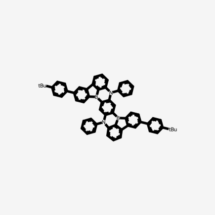 CC(C)(C)c1ccc(-c2ccc3c(c2)-c2cccc4c2B3c2cc3c(cc2N4c2ccccc2)B2c4ccc(-c5ccc(C(C)(C)C)cc5)cc4-c4cccc(c42)N3c2ccccc2)cc1